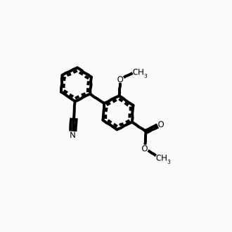 COC(=O)c1ccc(-c2ccccc2C#N)c(OC)c1